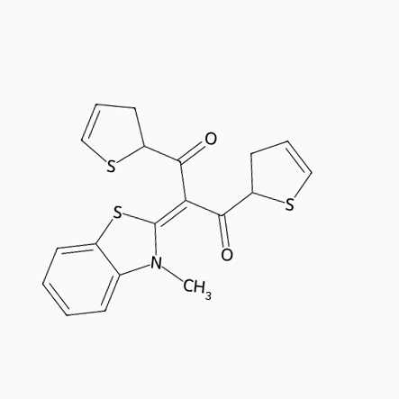 CN1C(=C(C(=O)C2CC=CS2)C(=O)C2CC=CS2)Sc2ccccc21